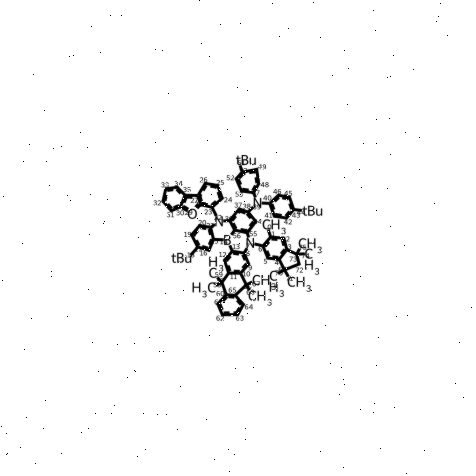 Cc1cc2c(cc1N1c3cc4c(cc3B3c5cc(C(C)(C)C)ccc5N(c5cccc6c5oc5ccccc56)c5cc(N(c6ccc(C(C)(C)C)cc6)c6ccc(C(C)(C)C)cc6)cc1c53)C(C)(C)c1ccccc1C4(C)C)C(C)(C)CC2(C)C